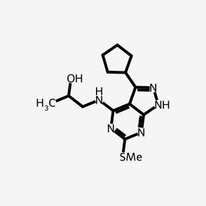 CSc1nc(NCC(C)O)c2c(C3CCCC3)n[nH]c2n1